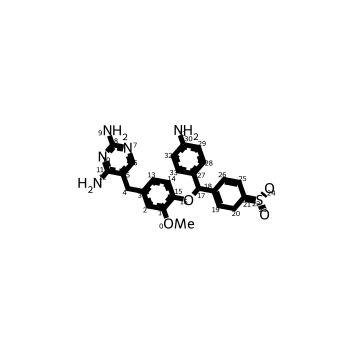 COc1cc(Cc2cnc(N)nc2N)ccc1OC(C1=CCC(=S(=O)=O)C=C1)c1ccc(N)cc1